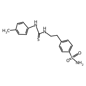 Cc1ccc(NC(=S)NCCc2ccc(S(N)(=O)=O)cc2)cc1